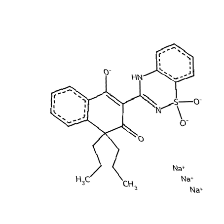 CCCC1(CCC)C(=O)C(C2=NS([O-])([O-])c3ccccc3N2)=C([O-])c2ccccc21.[Na+].[Na+].[Na+]